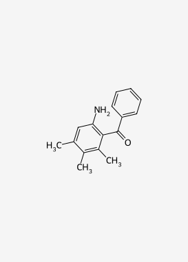 Cc1cc(N)c(C(=O)c2ccccc2)c(C)c1C